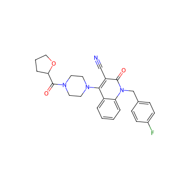 N#Cc1c(N2CCN(C(=O)C3CCCO3)CC2)c2ccccc2n(Cc2ccc(F)cc2)c1=O